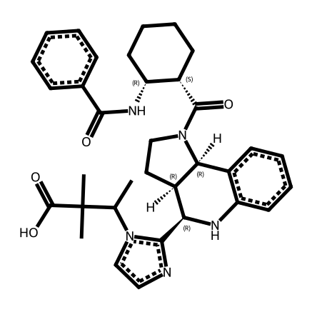 CC(n1ccnc1[C@@H]1Nc2ccccc2[C@H]2[C@@H]1CCN2C(=O)[C@H]1CCCC[C@H]1NC(=O)c1ccccc1)C(C)(C)C(=O)O